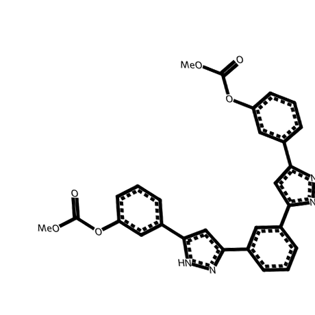 COC(=O)Oc1cccc(-c2cc(-c3cccc(-c4cc(-c5cccc(OC(=O)OC)c5)[nH]n4)c3)n[nH]2)c1